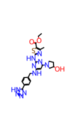 CCOC(=O)c1sc(Nc2nc(NCc3ccc(-c4nnn[nH]4)cc3)cc(N3CCC(O)C3)n2)nc1C